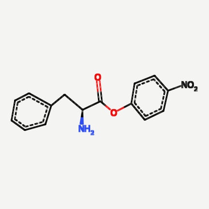 N[C@@H](Cc1ccccc1)C(=O)Oc1ccc([N+](=O)[O-])cc1